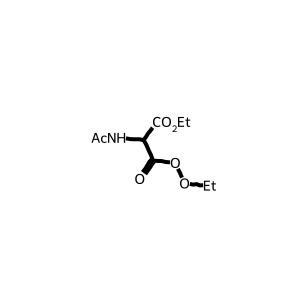 CCOOC(=O)C(NC(C)=O)C(=O)OCC